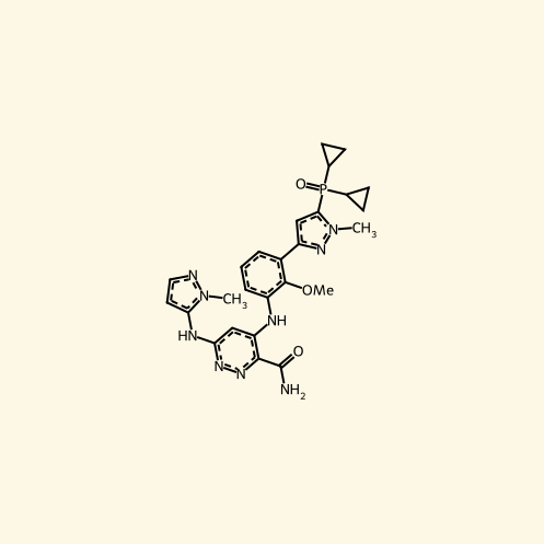 COc1c(Nc2cc(Nc3ccnn3C)nnc2C(N)=O)cccc1-c1cc(P(=O)(C2CC2)C2CC2)n(C)n1